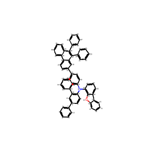 c1ccc(-c2ccc(N(c3ccc(-c4ccc5c(c4)c(-c4ccccc4)c(-c4ccccc4)c4ccccc45)cc3)c3cccc4c3oc3ccccc34)c(-c3ccccc3)c2)cc1